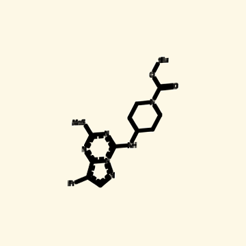 CSc1nc(NC2CCN(C(=O)OC(C)(C)C)CC2)n2ncc(C(C)C)c2n1